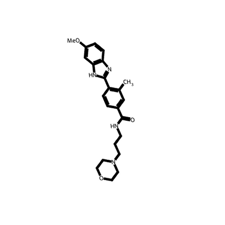 COc1ccc2nc(-c3ccc(C(=O)NCCCN4CCOCC4)cc3C)[nH]c2c1